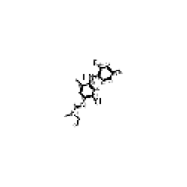 CCN(C)C=Nc1cc(C)c(Nc2ccc(C)cc2F)cc1Cl